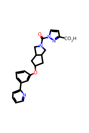 O=C(O)c1ccn(C(=O)N2CC3CC(Oc4cccc(-c5ccccn5)c4)CC3C2)n1